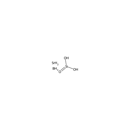 B.O=[Si](O)O.[SrH2]